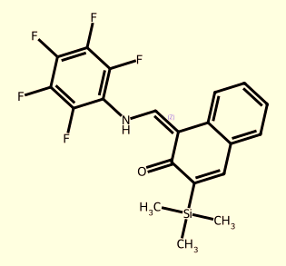 C[Si](C)(C)C1=Cc2ccccc2/C(=C/Nc2c(F)c(F)c(F)c(F)c2F)C1=O